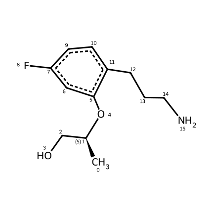 C[C@@H](CO)Oc1cc(F)ccc1CCCN